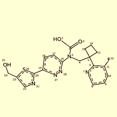 O=C(O)N(CC1(c2ncccc2F)CCC1)c1ccc(-c2ncc(CO)s2)nn1